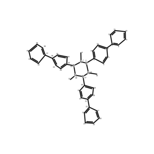 CN1B(c2ccc(-c3ccccc3)cc2)N(C)B(c2ccc(-c3ccccc3)cc2)N(C)B1c1ccc(-c2ccccc2)cc1